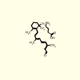 CC(C=CC=C(C)C=CC1=C(C)CCCC1(C)C)=CC=O.NCCCC(=O)O